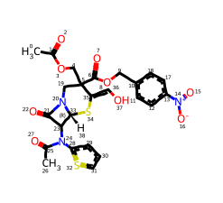 CC(=O)OCC1(C(=O)OCc2ccc([N+](=O)[O-])cc2)CN2C(=O)C(N(C(C)=O)c3cccs3)[C@H]2SC1=CO